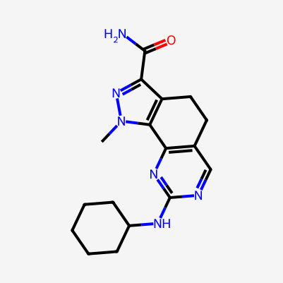 Cn1nc(C(N)=O)c2c1-c1nc(NC3CCCCC3)ncc1CC2